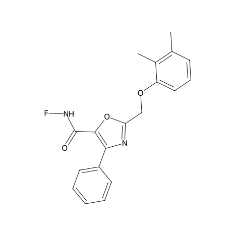 Cc1cccc(OCc2nc(-c3ccccc3)c(C(=O)NF)o2)c1C